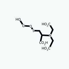 O=C(O)CN(CC(=O)O)C(CSOOO)C(=O)O